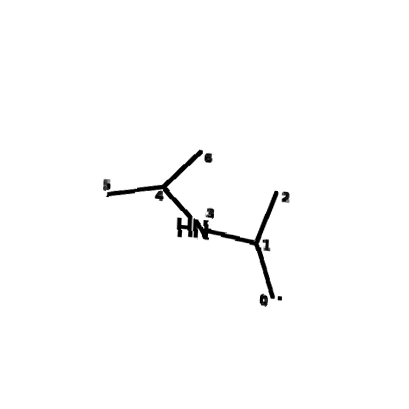 [CH2]C(C)NC(C)C